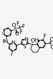 Cc1cc(Nc2cc(S(=O)(=O)C(F)(F)F)ccn2)nc(-c2cnc([C@]3(O)CCCc4cc(C(=O)O)c(F)cc43)s2)c1